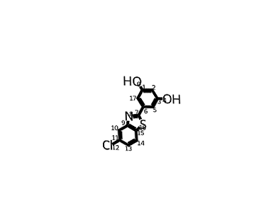 Oc1cc(O)cc(-c2nc3cc(Cl)ccc3s2)c1